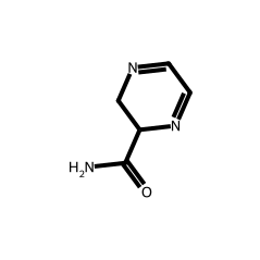 NC(=O)C1CN=CC=N1